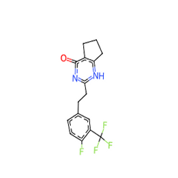 O=c1nc(CCc2ccc(F)c(C(F)(F)F)c2)[nH]c2c1CCC2